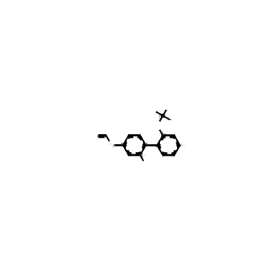 O=CNc1ccc(-c2ccccc2OC(F)(F)F)c(Cl)c1